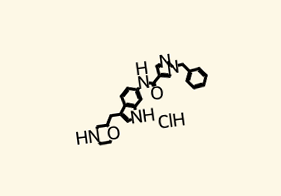 Cl.O=C(Nc1ccc2c(CC3CNCCO3)c[nH]c2c1)c1cnn(Cc2ccccc2)c1